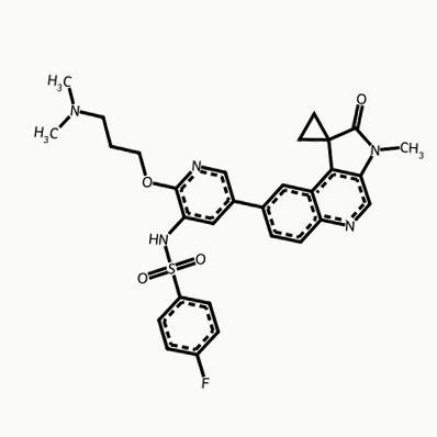 CN(C)CCCOc1ncc(-c2ccc3ncc4c(c3c2)C2(CC2)C(=O)N4C)cc1NS(=O)(=O)c1ccc(F)cc1